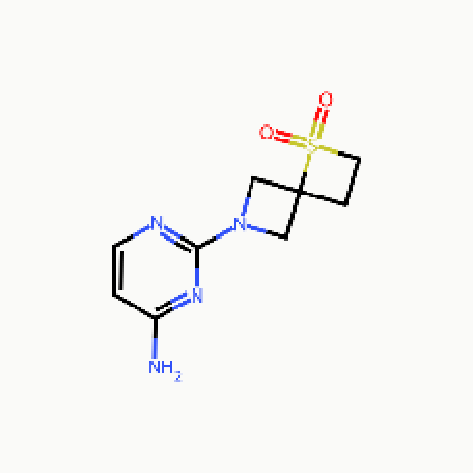 Nc1ccnc(N2CC3(CCS3(=O)=O)C2)n1